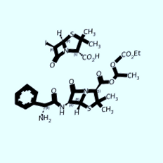 CC1(C)S[C@@H]2[C@H](I)C(=O)N2[C@H]1C(=O)O.CCOC(=O)OC(C)OC(=O)[C@@H]1N2C(=O)[C@@H](NC(=O)[C@H](N)c3ccccc3)[C@H]2SC1(C)C